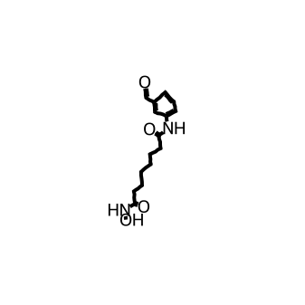 O=Cc1cccc(NC(=O)CCCCCCC(=O)NO)c1